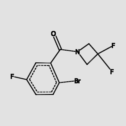 O=C(c1cc(F)ccc1Br)N1CC(F)(F)C1